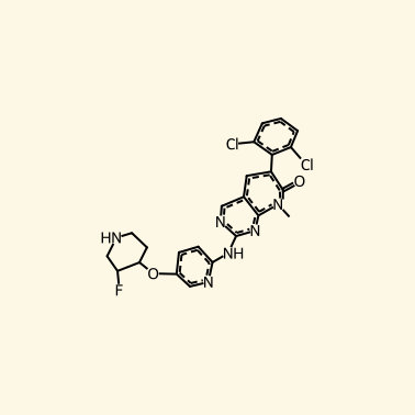 Cn1c(=O)c(-c2c(Cl)cccc2Cl)cc2cnc(Nc3ccc(OC4CCNCC4F)cn3)nc21